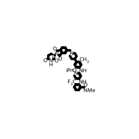 CNC(=O)c1ccccc1Nc1cc(Nc2cc(C)c(C3CCN(Cc4ccc5c(c4)C(=O)N(N4CCC(=O)NC4=O)C5=O)CC3)cc2OC(C)C)ncc1C(F)(F)F